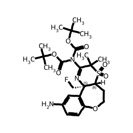 CC(C)(C)OC(=O)N(C(=O)OC(C)(C)C)C1=N[C@]2(CF)c3cc(N)ccc3OCC[C@H]2S(=O)(=O)C1(C)C